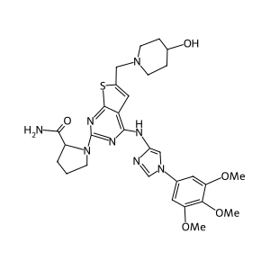 COc1cc(-n2cnc(Nc3nc(N4CCCC4C(N)=O)nc4sc(CN5CCC(O)CC5)cc34)c2)cc(OC)c1OC